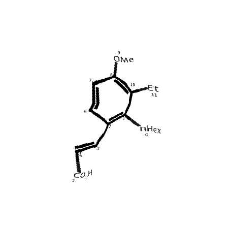 CCCCCCc1c(C=CC(=O)O)ccc(OC)c1CC